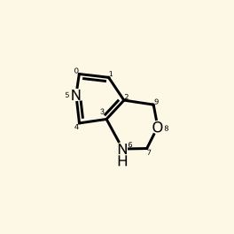 c1cc2c(cn1)NCOC2